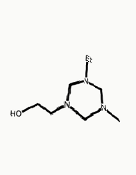 CCN1CN(C)CN(CCO)C1